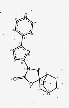 O=C1O[C@]2(CN3CCC2CC3)CN1c1ccc(-c2ccncc2)o1